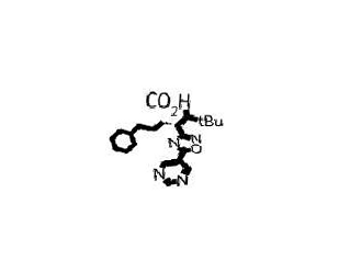 CC(C)(C)C(C(=O)O)[C@@H](CCCC1CCCCC1)c1noc(-c2cncnc2)n1